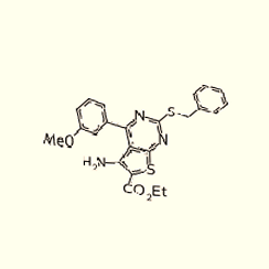 CCOC(=O)c1sc2nc(SCc3ccccc3)nc(-c3cccc(OC)c3)c2c1N